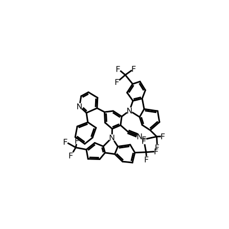 N#Cc1c(-n2c3cc(C(F)(F)F)ccc3c3ccc(C(F)(F)F)cc32)cc(-c2cccnc2-c2ccccc2)cc1-n1c2cc(C(F)(F)F)ccc2c2ccc(C(F)(F)F)cc21